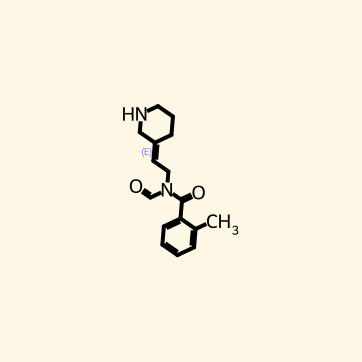 Cc1ccccc1C(=O)N(C=O)C/C=C1\CCCNC1